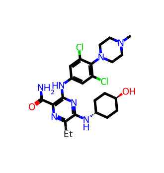 CCc1nc(C(N)=O)c(Nc2cc(Cl)c(N3CCN(C)CC3)c(Cl)c2)nc1N[C@H]1CC[C@H](O)CC1